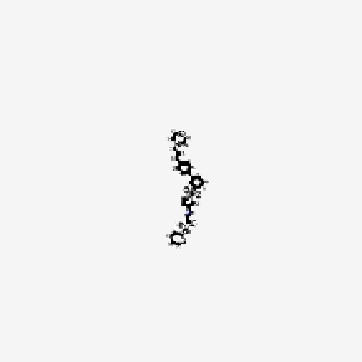 O=C(/C=C/c1ccn(S(=O)(=O)c2cccc(-c3ccc(CCCN4CCOCC4)cc3)c2)c1)NOC1CCCCO1